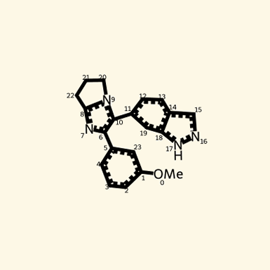 COc1cccc(-c2nc3n(c2-c2ccc4cn[nH]c4c2)CCC3)c1